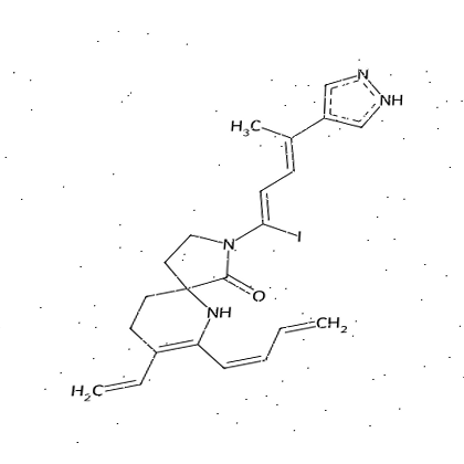 C=C/C=C\C1=C(C=C)CCC2(CCN(/C(I)=C/C=C(\C)c3cn[nH]c3)C2=O)N1